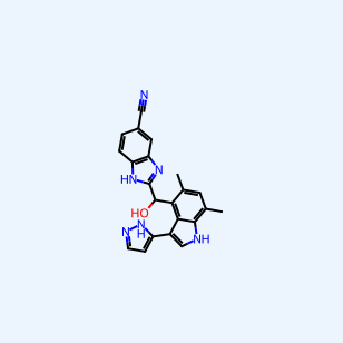 Cc1cc(C)c2[nH]cc(-c3ccn[nH]3)c2c1C(O)c1nc2cc(C#N)ccc2[nH]1